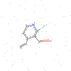 C=Cc1ccnc(F)c1C=O